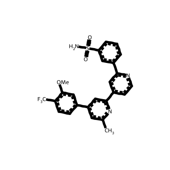 COc1cc(-c2cc(C)nc(-c3ccnc(-c4cccc(S(N)(=O)=O)c4)c3)c2)ccc1C(F)(F)F